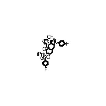 CC(C)N([C@H]1CCC2=Cc3c(cnn3-c3ccc(F)cc3)C[C@]2(C(=O)c2ncc(C(F)(F)F)s2)C1)S(=O)(=O)c1ccc(F)cc1